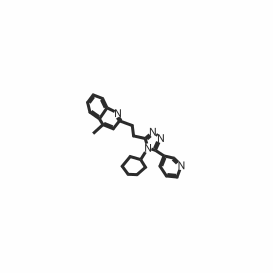 Cc1cc(CCc2nnc(-c3cccnc3)n2C2CCCCC2)nc2ccccc12